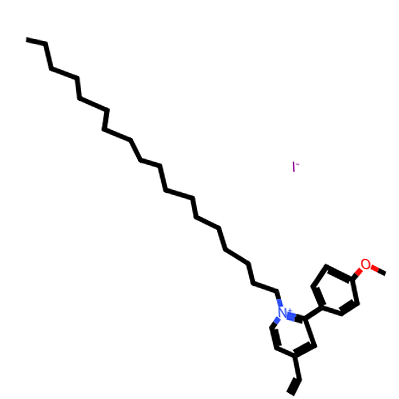 C=Cc1cc[n+](CCCCCCCCCCCCCCCCCC)c(-c2ccc(OC)cc2)c1.[I-]